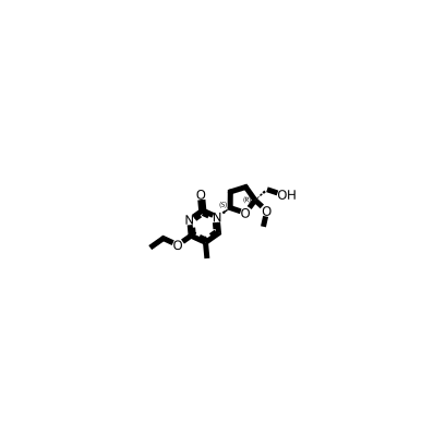 CCOc1nc(=O)n([C@@H]2CC[C@@](CO)(OC)O2)cc1C